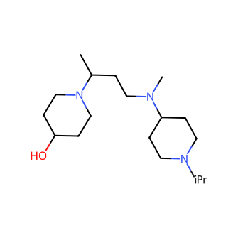 CC(C)N1CCC(N(C)CCC(C)N2CCC(O)CC2)CC1